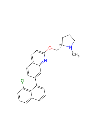 CN1CCC[C@H]1COc1ccc2ccc(-c3cccc4cccc(Cl)c34)cc2n1